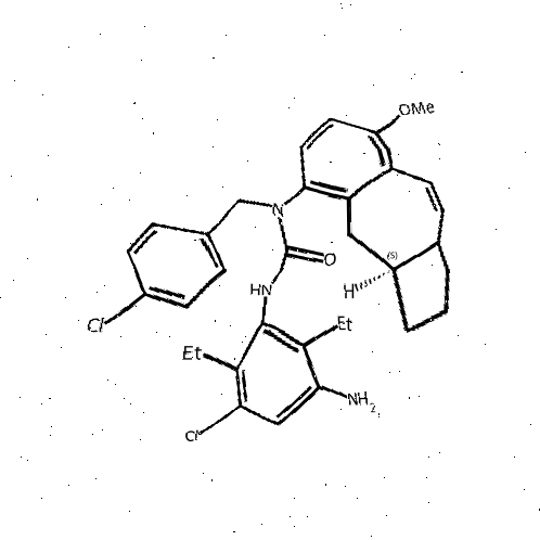 CCc1c(N)cc(Cl)c(CC)c1NC(=O)N(Cc1ccc(Cl)cc1)c1ccc(OC)c2c1C[C@@H]1CCC1C=C2